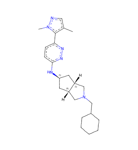 Cc1cnn(C)c1-c1ccc(N[C@H]2C[C@@H]3CN(CC4CCCCC4)C[C@@H]3C2)nn1